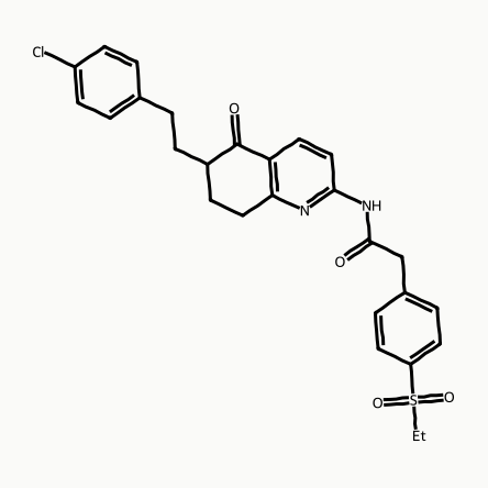 CCS(=O)(=O)c1ccc(CC(=O)Nc2ccc3c(n2)CCC(CCc2ccc(Cl)cc2)C3=O)cc1